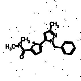 Cc1cc(-c2ccc(C(=O)N(C)C)s2)n(Cc2ccccc2)n1